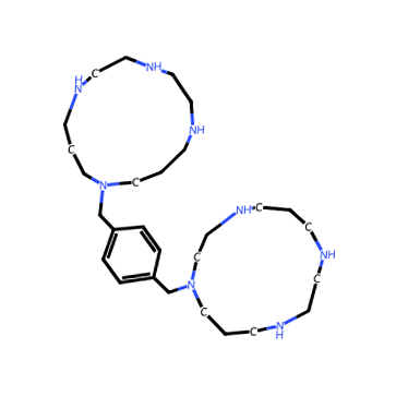 c1cc(CN2CCCNCCNCCCNCC2)ccc1CN1CCCNCCNCCNCCC1